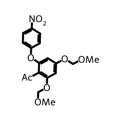 COCOc1cc(OCOC)c(C(C)=O)c(Oc2ccc([N+](=O)[O-])cc2)c1